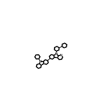 c1ccc(-c2cccc(-n3c4ccc(-c5ccc6c7ccccc7n(-c7ccccc7)c6c5)cc4c4cccnc43)c2)cc1